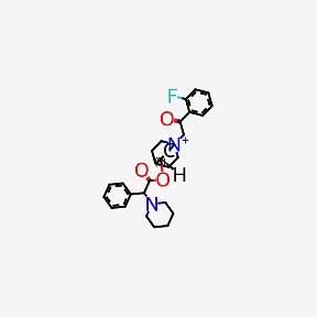 O=C(C[N+]12CCC(CC1)[C@@H](OC(=O)C(c1ccccc1)N1CCCCC1)C2)c1ccccc1F